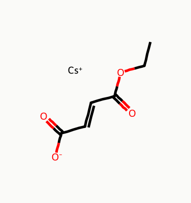 CCOC(=O)C=CC(=O)[O-].[Cs+]